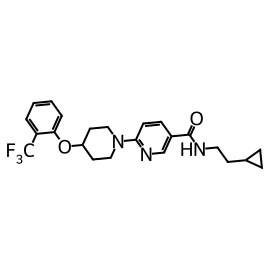 O=C(NCCC1CC1)c1ccc(N2CCC(Oc3ccccc3C(F)(F)F)CC2)nc1